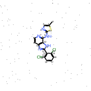 Cc1cnc(Nc2nccc3nc(-c4c(Cl)cccc4Cl)[nH]c23)s1